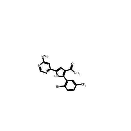 CCc1ccc(C(F)(F)F)cc1-c1[nH]c(-c2cc(NC)ncn2)cc1C(N)=O